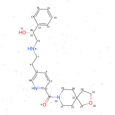 O=C(c1ccc(CCNC[C@H](O)c2ccccc2)cn1)N1CCC2(CCOC2)CC1